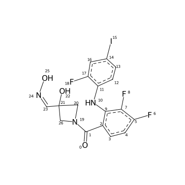 O=C(c1ccc(F)c(F)c1Nc1ccc(I)cc1F)N1CC(O)(/C=N\O)C1